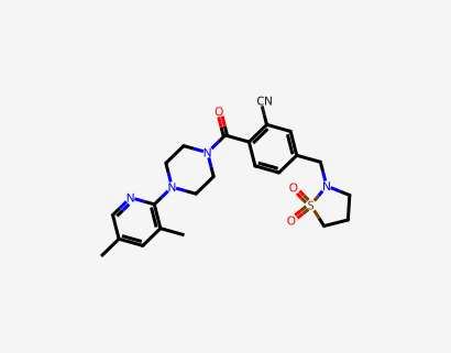 Cc1cnc(N2CCN(C(=O)c3ccc(CN4CCCS4(=O)=O)cc3C#N)CC2)c(C)c1